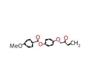 C=CC(=O)COc1ccc(OC(=O)c2ccc(OC)cc2)cc1